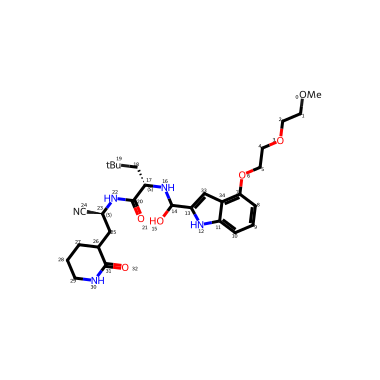 COCCOCCOc1cccc2[nH]c(C(O)N[C@@H](CC(C)(C)C)C(=O)N[C@H](C#N)CC3CCCNC3=O)cc12